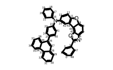 c1ccc(-c2nc3ccc4oc5ccc(N(c6ccccc6)c6ccc(-c7cc8ccccc8c8ccccc78)cc6)cc5c4c3o2)cc1